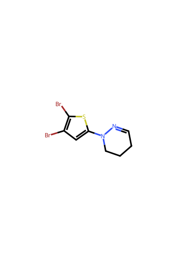 Brc1cc(N2CCCC=N2)sc1Br